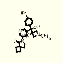 CC(C)c1ccc([C@](O)(c2cncc(N3CCC4(CCC4)C3=O)c2)C2(C)CN(C)C2)cc1